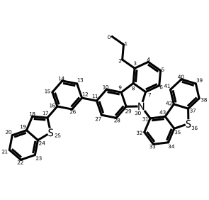 CCCc1cccc2c1c1cc(-c3cccc(-c4cc5ccccc5s4)c3)ccc1n2-c1cccc2sc3ccccc3c12